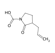 C=CCC1CCN(C(=O)O)C1=O